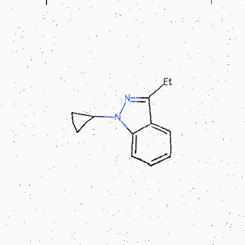 CCc1nn(C2CC2)c2ccccc12